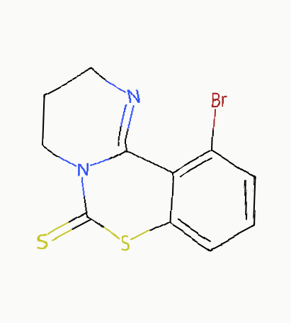 S=C1Sc2cccc(Br)c2C2=NCCCN12